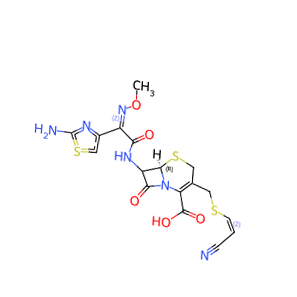 CO/N=C(\C(=O)NC1C(=O)N2C(C(=O)O)=C(CS/C=C\C#N)CS[C@H]12)c1csc(N)n1